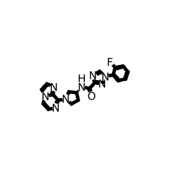 O=C(N[C@H]1CCN(c2nccn3ccnc23)C1)c1ncn(-c2ccccc2F)n1